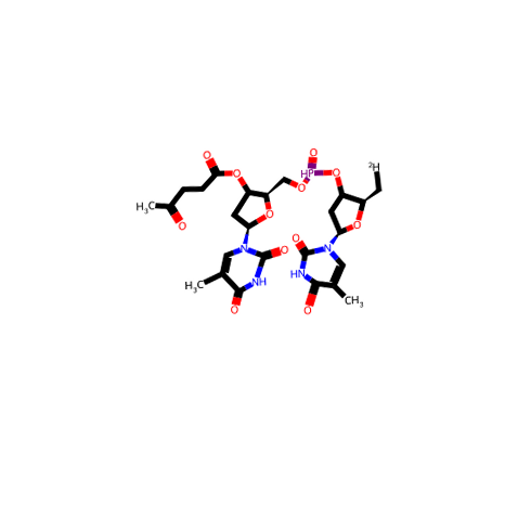 [2H]C[C@H]1O[C@@H](n2cc(C)c(=O)[nH]c2=O)CC1O[PH](=O)OC[C@H]1O[C@@H](n2cc(C)c(=O)[nH]c2=O)CC1OC(=O)CCC(C)=O